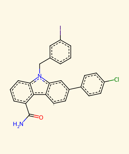 NC(=O)c1cccc2c1c1[c]cc(-c3ccc(Cl)cc3)cc1n2Cc1cccc(I)c1